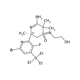 CC[Si](CC)(CC)c1cc(Br)nc([C@]2(C)CS(=O)(=NCCO)C(C)(C)C(N)=N2)c1F